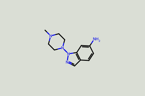 CN1CCN(n2ncc3ccc(N)cc32)CC1